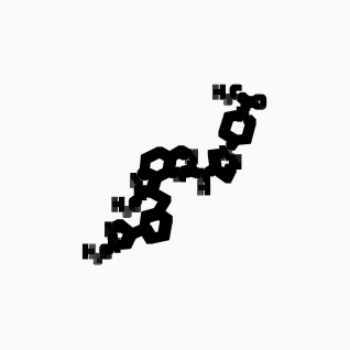 CC(=O)N1CCC(n2cc(Nc3ncc4c(n3)-c3c(nn(C)c3Cc3cccc(-c5cnn(C)c5)c3)CC4)cn2)CC1